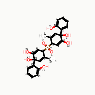 CC1=CC(O)(c2ccccc2O)C(O)=CC1S(=O)(=O)C1C=C(O)C(O)(c2ccccc2O)C=C1C